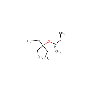 CC[SiH](C)O[Si](CC)(CC)CC